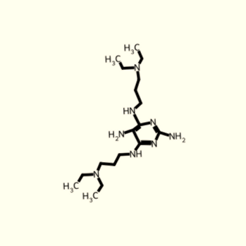 CCN(CC)CCCNc1nc(N)nc(NCCCN(CC)CC)c1N